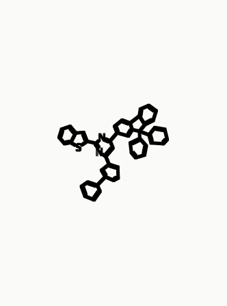 c1ccc(-c2cccc(-c3cc(-c4ccc5c(c4)C(c4ccccc4)(c4ccccc4)c4ccccc4-5)nc(-c4cc5ccccc5s4)n3)c2)cc1